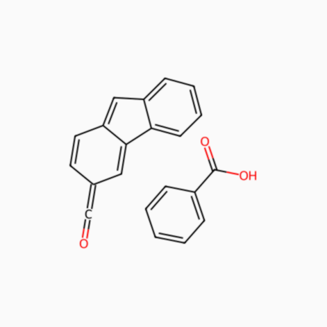 O=C(O)c1ccccc1.O=C=c1ccc2c(c1)-c1ccccc1C=2